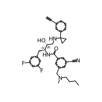 C#Cc1cccc(C2(NC[C@@H](O)[C@H](Cc3cc(F)cc(F)c3)NC(=O)c3cc(C#N)cc(CN(C)CCCC)c3)CC2)c1